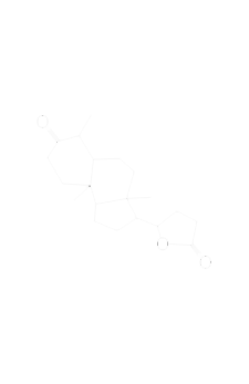 CC1C(=O)CCC2(C)C1CCC1(C)C(C3CCC(=O)O3)CCC12